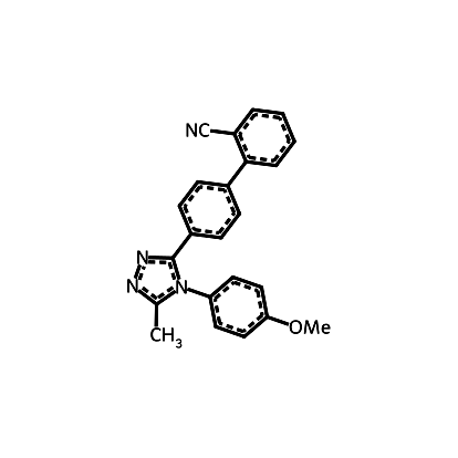 COc1ccc(-n2c(C)nnc2-c2ccc(-c3ccccc3C#N)cc2)cc1